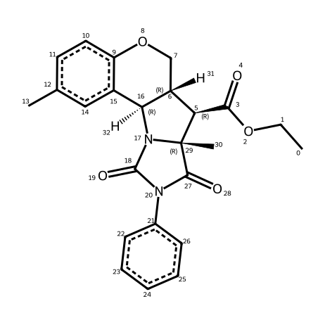 CCOC(=O)[C@@H]1[C@H]2COc3ccc(C)cc3[C@@H]2N2C(=O)N(c3ccccc3)C(=O)[C@@]12C